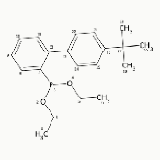 CCOP(OCC)c1ccccc1-c1ccc(C(C)(C)C)cc1